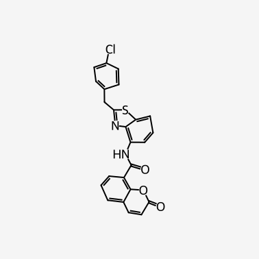 O=C(Nc1cccc2sc(Cc3ccc(Cl)cc3)nc12)c1cccc2ccc(=O)oc12